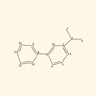 CC(C)c1cccc(-c2c[c]ccc2)c1